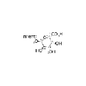 CCCCCOC1O[C@H](C(=O)O)[C@H](O)[C@H](O)[C@H]1O